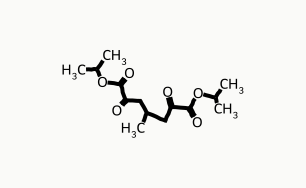 CC(CC(=O)C(=O)OC(C)C)CC(=O)C(=O)OC(C)C